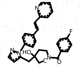 O=C(c1ccc(F)cc1)N1CCC(O)(Cc2ccnn2-c2ccc(/C=C/c3ccccn3)cc2)CC1